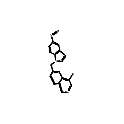 O=Nc1ccc2c(ccn2Cc2ccc3cncc(Br)c3c2)c1